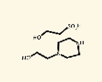 O=S(=O)(O)CCO.OCCN1CCNCC1